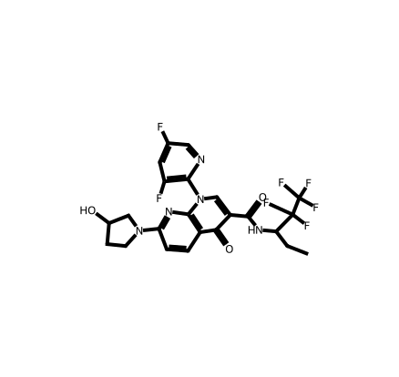 CCC(NC(=O)c1cn(-c2ncc(F)cc2F)c2nc(N3CCC(O)C3)ccc2c1=O)C(F)(F)C(F)(F)F